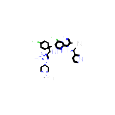 CC(Nc1c(C#N)cnc2c(Cl)cc(N[C@H](C3=CN(C4CCN(C(C)(C)C)CC4)NN3)C3(C)C=CC(Cl)=CC3)cc12)c1cccnc1